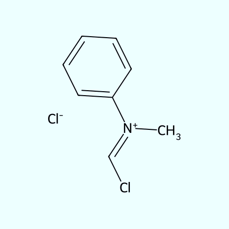 C/[N+](=C\Cl)c1ccccc1.[Cl-]